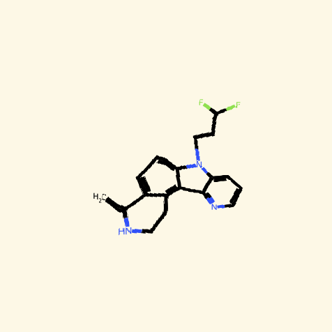 C=C1NCCc2c1ccc1c2c2ncccc2n1CCC(F)F